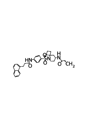 C=CC(=O)NC1CCN(S(=O)(=O)c2ccc(NC(=O)CCc3cccc4ccccc34)cc2)C2(CCC2)C1